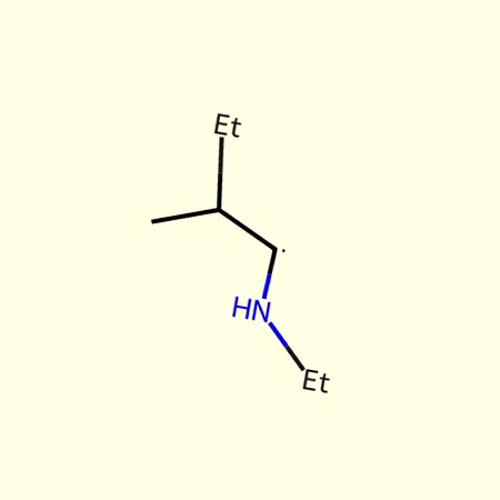 CCN[CH]C(C)CC